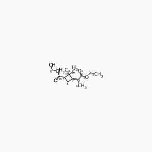 CCOC(=O)C(C)=C1CC(C(=O)OCC)C1(C)C